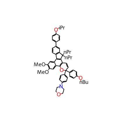 CCCCOc1ccc(C2(c3ccc(N4CCOCC4)cc3)C=Cc3c4c(c5cc(OC)c(OC)cc5c3O2)-c2ccc(-c3ccc(OC(C)C)cc3)cc2C4(CCC)CCC)cc1